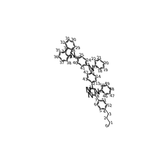 CCCCc1ccc(-c2nnc(-c3ccc(N(c4ccccc4)c4ccc(-n5c6ccccc6c6ccccc65)cc4)cc3)n2-c2ccccc2)cc1